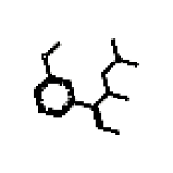 CC=C(c1cccc(OC)c1)C(C)CN(C)C